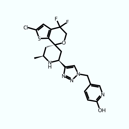 C[C@H]1C[C@@]2(C[C@@H](c3cn(Cc4ccc(O)nc4)nn3)N1)OCC(F)(F)c1cc(Cl)sc12